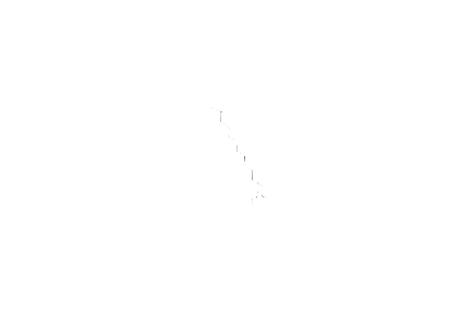 O=C(O)CC(CCCOCCOCCNN(CC(=O)O)C(=O)O)C(=O)O